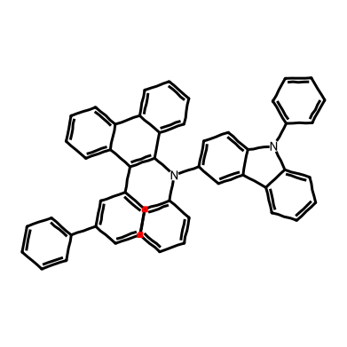 c1ccc(-c2cccc(-c3c(N(c4ccccc4)c4ccc5c(c4)c4ccccc4n5-c4ccccc4)c4ccccc4c4ccccc34)c2)cc1